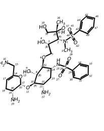 CN([C@H]([C@@H](O)CO[C@@H]1[C@@H](O)[C@H](O[C@H]2OC(CN)=CC[C@H]2N)[C@@H](N)C[C@H]1NS(=O)(=O)c1ccccc1)[C@@](C)(O)CO)S(=O)(=O)c1ccccc1